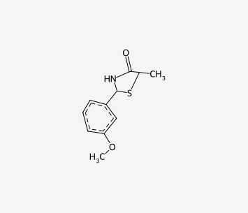 COc1cccc(C2NC(=O)C(C)S2)c1